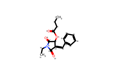 CCCC(=O)OC1C(=O)N(CC)C(=O)C1=Cc1ccccc1